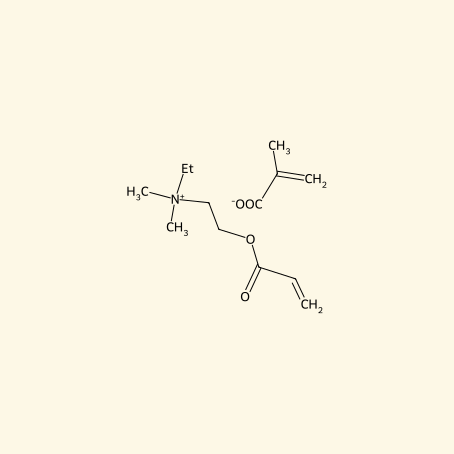 C=C(C)C(=O)[O-].C=CC(=O)OCC[N+](C)(C)CC